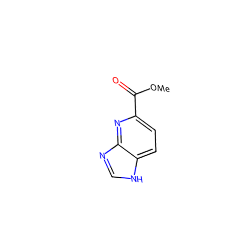 COC(=O)c1ccc2[nH]cnc2n1